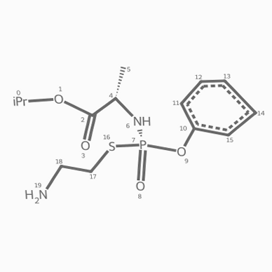 CC(C)OC(=O)[C@H](C)N[P@@](=O)(Oc1ccccc1)SCCN